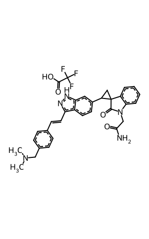 CN(C)Cc1ccc(/C=C/c2n[nH]c3cc(C4CC45C(=O)N(CC(N)=O)c4ccccc45)ccc23)cc1.O=C(O)C(F)(F)F